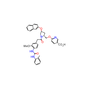 COc1cc(CC(=O)N2C[C@@H](Oc3ccc4ccccc4c3)C[C@H]2COc2ccc(C(=O)O)cn2)ccc1NC(=O)Nc1ccccc1C